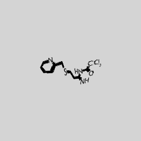 N=C(CCSCc1ccccn1)NC(=O)C(Cl)(Cl)Cl